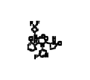 O=C1CCC(C(=O)N(c2cncc(F)c2)C(C(=O)NC2CC(F)(F)C2)c2ccccc2Cl)N1